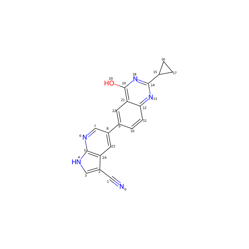 N#Cc1c[nH]c2ncc(-c3ccc4nc(C5CC5)nc(O)c4c3)cc12